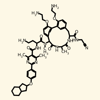 Cc1nc(-c2ccc(OC3CC4CCCCC4C3)cc2)nc(C)c1C(=O)NC(CCN)C(=O)N(C)C1C(=O)NC(C)C(=O)NC(C(=O)NCC#N)Cc2ccc(OCCN)c(c2)-c2cc1ccc2OCCN